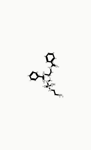 NCCOP(=O)(O)OC[C@@H](COC(=O)c1ccccc1)OC(=O)c1ccccc1